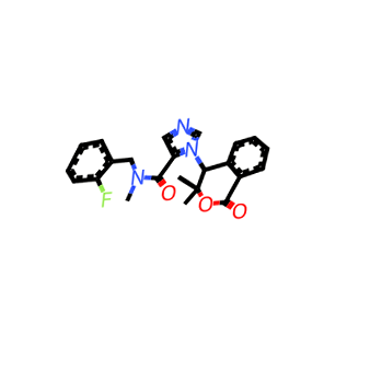 CN(Cc1ccccc1F)C(=O)c1cncn1C1c2ccccc2C(=O)OC1(C)C